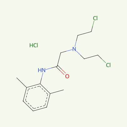 Cc1cccc(C)c1NC(=O)CN(CCCl)CCCl.Cl